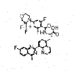 Cc1nc(-c2ccc(C[C@H](NC(=O)c3c(F)cc(N4CCOC[C@@H]4C(F)(F)F)cc3F)C(=O)O)c3cccnc23)nc2cc(F)ccc12